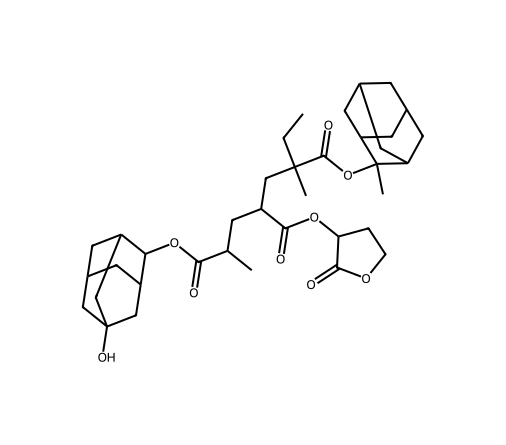 CCC(C)(CC(CC(C)C(=O)OC1C2CC3CC1CC(O)(C3)C2)C(=O)OC1CCOC1=O)C(=O)OC1(C)C2CC3CC(C2)CC1C3